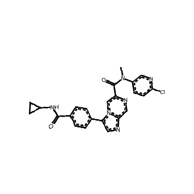 CN(C(=O)c1cn2c(-c3ccc(C(=O)NC4CC4)cc3)cnc2cn1)c1ccc(Cl)nc1